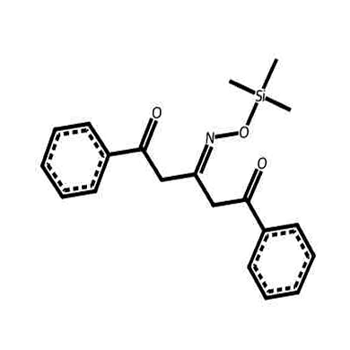 C[Si](C)(C)ON=C(CC(=O)c1ccccc1)CC(=O)c1ccccc1